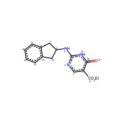 CCOC(=O)c1cnc(NC2Cc3ccccc3C2)[nH]c1=O